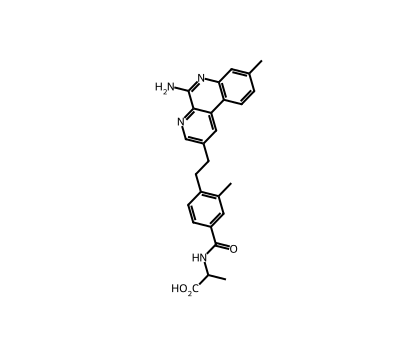 Cc1ccc2c(c1)nc(N)c1ncc(CCc3ccc(C(=O)NC(C)C(=O)O)cc3C)cc12